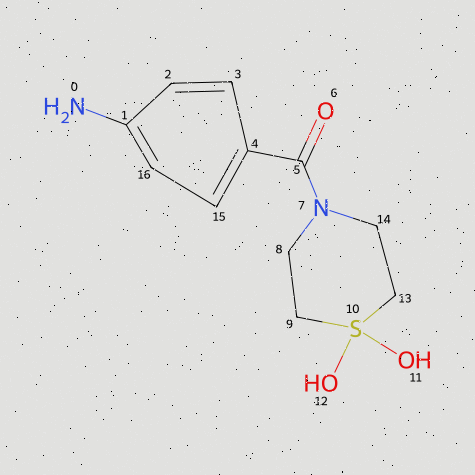 Nc1ccc(C(=O)N2CCS(O)(O)CC2)cc1